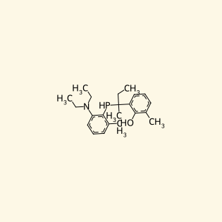 CCN(CC)c1cccc(C)c1PC(C)(CC)c1cccc(C)c1O